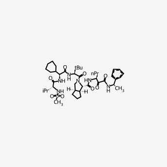 CCC[C@H](NC(=O)[C@@H]1[C@H]2CCC[C@H]2CN1C(=O)[C@@H](NC(=O)[C@@H](NC(=O)[C@H](NS(C)(=O)=O)C(C)C)C1CCCCC1)C(C)(C)C)C(=O)C(=O)N[C@@H](C)c1ccccc1